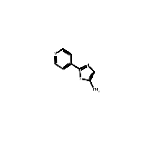 Cc1cnc(-c2ccncc2)s1